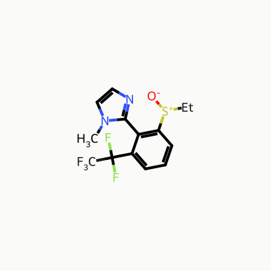 CC[S+]([O-])c1cccc(C(F)(F)C(F)(F)F)c1-c1nccn1C